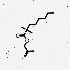 C=C(C)COC(=O)C(C)(C)CCCCCC